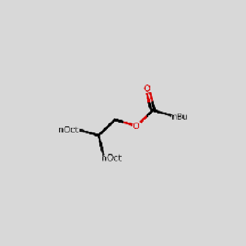 CCCCCCCCC(CCCCCCCC)COC(=O)CCCC